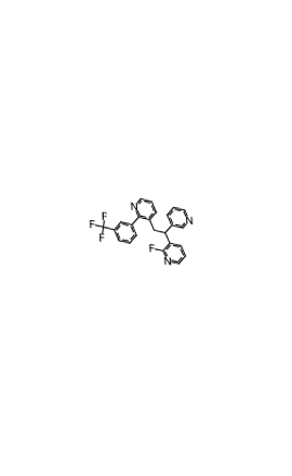 Fc1ncccc1C(Cc1cccnc1-c1cccc(C(F)(F)F)c1)c1cccnc1